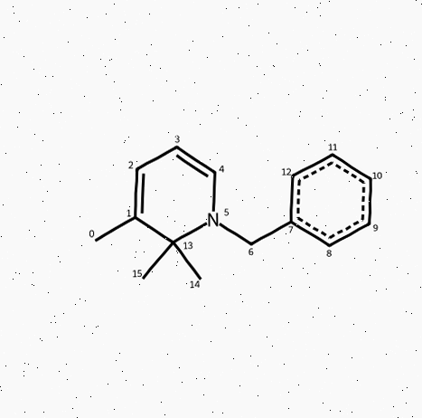 CC1=CC=CN(Cc2ccccc2)C1(C)C